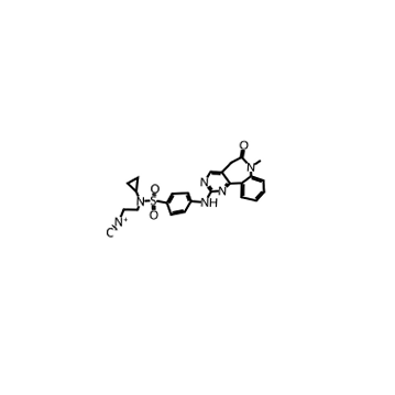 [C-]#[N+]CCN(C1CC1)S(=O)(=O)c1ccc(Nc2ncc3c(n2)-c2ccccc2N(C)C(=O)C3)cc1